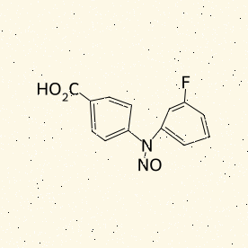 O=NN(c1ccc(C(=O)O)cc1)c1cccc(F)c1